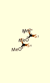 COC(=S)[S-].COC(=S)[S-].[Mn+2]